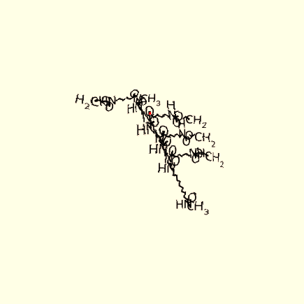 C=CCOC(=O)NCCCCCC(=O)N(CC)CC(=O)NCCN(CC(=O)NCCN(CC(=O)NCCN(CC(=O)NCCCCCCCCCCC(=O)NC)C(=O)CCCCCNC(=O)OCC=C)C(=O)CCCCCNC(=O)OCC=C)C(=O)CCCCCNC(=O)OCC=C